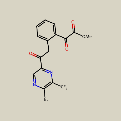 CCc1ncc(C(=O)Cc2ccccc2C(=O)C(=O)OC)nc1C(F)(F)F